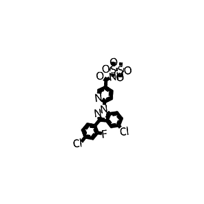 CS(=O)(=O)S(=O)(=O)NC(=O)c1ccc(-n2nc(-c3ccc(Cl)cc3F)c3cc(Cl)ccc32)nc1